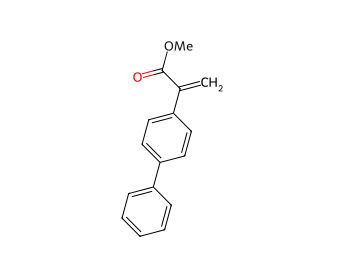 C=C(C(=O)OC)c1ccc(-c2ccccc2)cc1